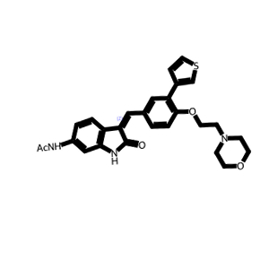 CC(=O)Nc1ccc2c(c1)NC(=O)/C2=C\c1ccc(OCCN2CCOCC2)c(-c2ccsc2)c1